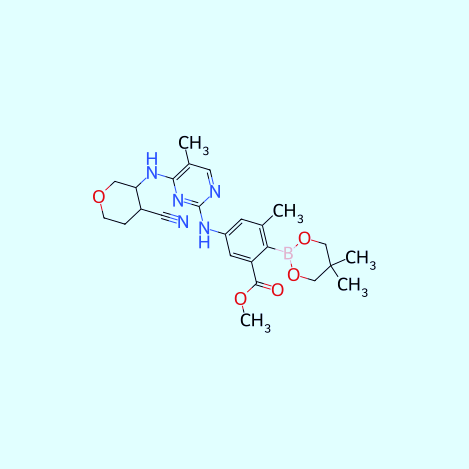 COC(=O)c1cc(Nc2ncc(C)c(NC3COCCC3C#N)n2)cc(C)c1B1OCC(C)(C)CO1